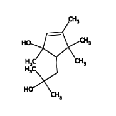 CC1=CC(C)(O)C(CC(C)(C)O)C1(C)C